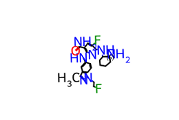 Cc1nn(CCF)c2ccc(Nc3nc(NC4CCCC[C@@H]4N)c(F)cc3C(N)=O)cc12